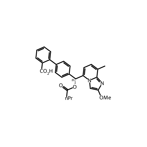 CCCC(=O)O[C@H](c1ccc(-c2ccccc2C(=O)O)cc1)c1ccc(C)c2nc(OC)cn12